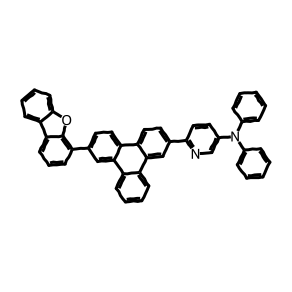 c1ccc(N(c2ccccc2)c2ccc(-c3ccc4c5ccc(-c6cccc7c6oc6ccccc67)cc5c5ccccc5c4c3)nc2)cc1